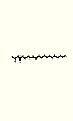 CCCCCCCCCCCCCCCCCC(=O)CNC